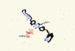 CCCCC(CN(C)c1ccc(/C=C/c2cccc[n+]2C)cc1)N(C)c1ccc(/C=C/c2cccc[n+]2C)cc1.COS(=O)(=O)[O-].COS(=O)(=O)[O-]